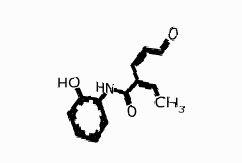 C/C=C(/C=C\C=O)C(=O)Nc1ccccc1O